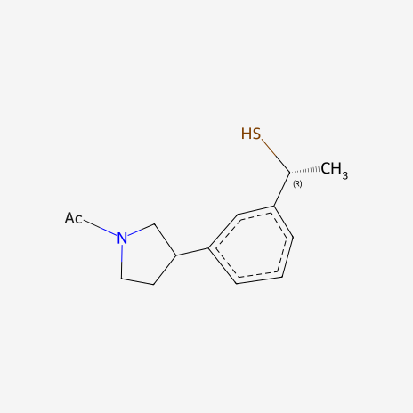 CC(=O)N1CCC(c2cccc([C@@H](C)S)c2)C1